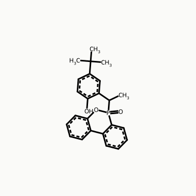 CC(c1cc(C(C)(C)C)ccc1O)P1(=O)Oc2ccccc2-c2ccccc21